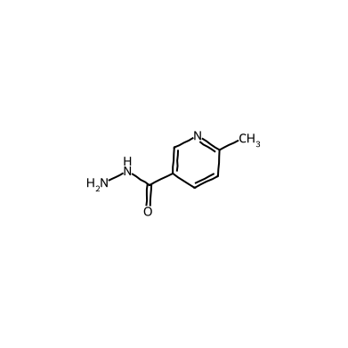 Cc1ccc(C(=O)NN)cn1